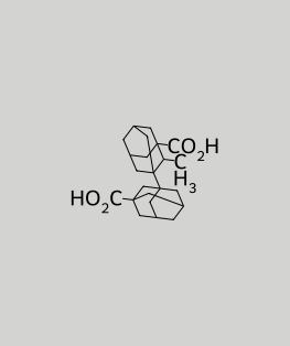 CC1C2(C(=O)O)CC3CC(C2)CC1(C12CC4CC(CC(C(=O)O)(C4)C1)C2)C3